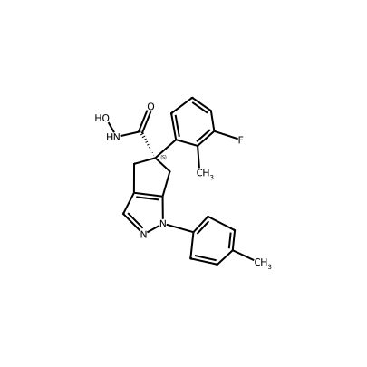 Cc1ccc(-n2ncc3c2C[C@](C(=O)NO)(c2cccc(F)c2C)C3)cc1